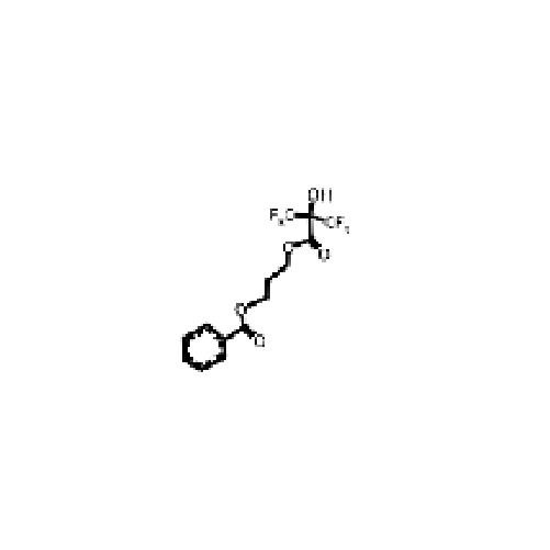 O=C(OCCCOC(=O)C(O)(C(F)(F)F)C(F)(F)F)c1ccccc1